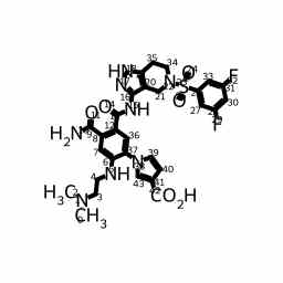 CN(C)CCNc1cc(C(N)=O)c(C(=O)Nc2n[nH]c3c2CN(S(=O)(=O)c2cc(F)cc(F)c2)CC3)cc1-n1ccc(C(=O)O)c1